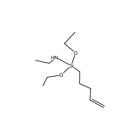 C=CCCC[Si](NCC)(OCC)OCC